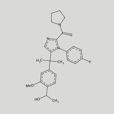 COc1cc(C(C)(C)c2cnc(C(=O)N3CCCC3)n2-c2ccc(F)cc2)ccc1C(C)O